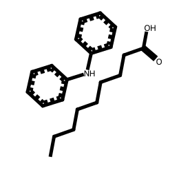 CCCCCCCCC(=O)O.c1ccc(Nc2ccccc2)cc1